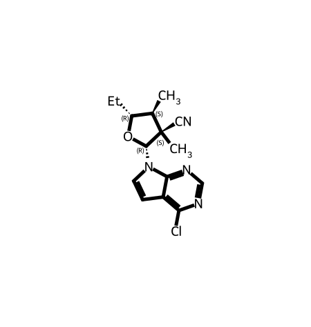 CC[C@H]1O[C@@H](n2ccc3c(Cl)ncnc32)[C@](C)(C#N)[C@@H]1C